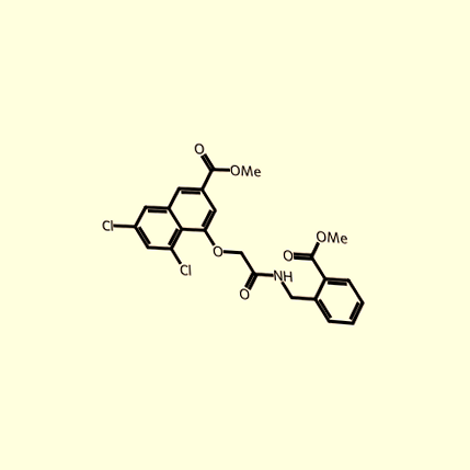 COC(=O)c1cc(OCC(=O)NCc2ccccc2C(=O)OC)c2c(Cl)cc(Cl)cc2c1